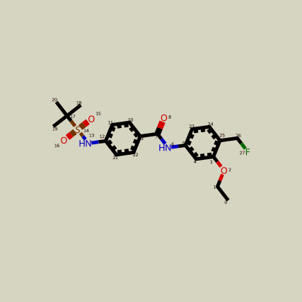 CCOc1cc(NC(=O)c2ccc(NS(=O)(=O)C(C)(C)C)cc2)ccc1CF